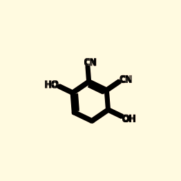 N#CC1=C(C#N)C(O)CC=C1O